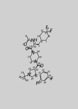 CC(=O)N[C@@H](CC1CCC(F)(F)CC1)C(=O)N1CCN(C(=O)[C@@H]2CN(C(C)(C)C)C[C@H]2c2ccc(F)cc2F)CC1